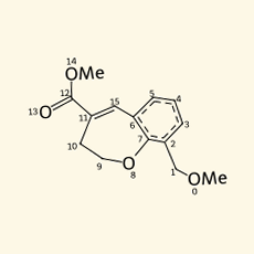 COCc1cccc2c1OCCC(C(=O)OC)=C2